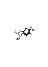 O=c1nc(NO)c(F)cn1[C@H]1C[C@H](O)[C@@H](CO)O1